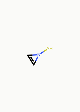 SN1C=C1